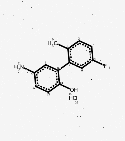 Cc1ccc(F)cc1-c1cc(N)ccc1O.Cl